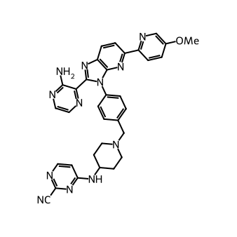 COc1ccc(-c2ccc3nc(-c4nccnc4N)n(-c4ccc(CN5CCC(Nc6ccnc(C#N)n6)CC5)cc4)c3n2)nc1